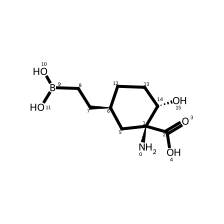 N[C@@]1(C(=O)O)C[C@@H](CCB(O)O)CC[C@@H]1O